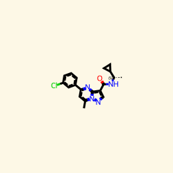 Cc1cc(-c2cccc(Cl)c2)nc2c(C(=O)N[C@@H](C)C3CC3)cnn12